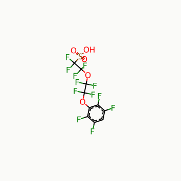 O=S(=O)(O)C(F)(F)C(F)(F)OC(F)(F)C(F)(F)Oc1c(F)c(F)cc(F)c1F